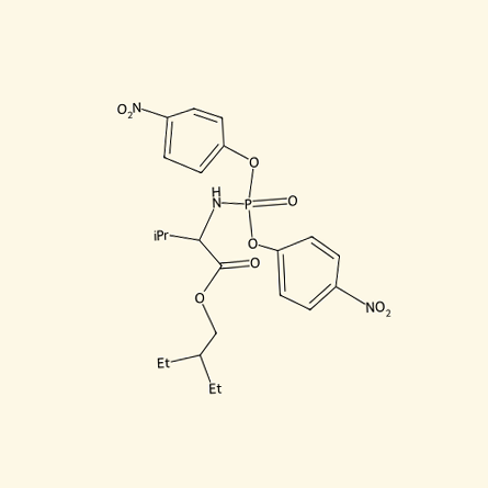 CCC(CC)COC(=O)C(NP(=O)(Oc1ccc([N+](=O)[O-])cc1)Oc1ccc([N+](=O)[O-])cc1)C(C)C